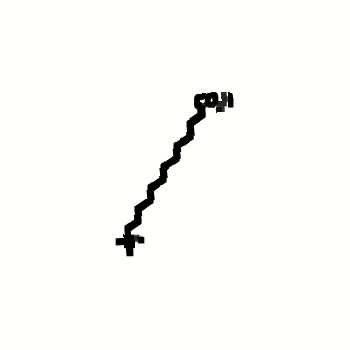 C[N+](C)(C)CCCCCCCCCCCCC(=O)O